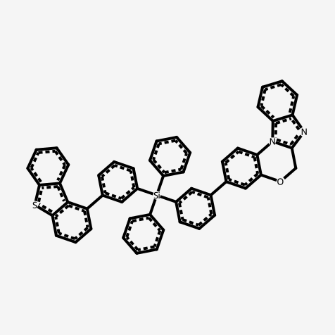 c1ccc([Si](c2ccccc2)(c2cccc(-c3ccc4c(c3)OCc3nc5ccccc5n3-4)c2)c2cccc(-c3cccc4sc5ccccc5c34)c2)cc1